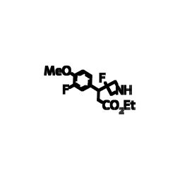 CCOC(=O)CC(c1ccc(OC)c(F)c1)C1(F)CNC1